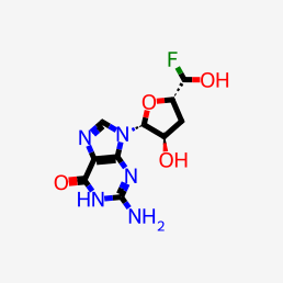 Nc1nc2c(ncn2[C@@H]2O[C@H](C(O)F)C[C@H]2O)c(=O)[nH]1